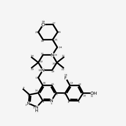 Cc1n[nH]c2nc(-c3ccc(O)cc3F)cc(CN3CC(C)(C)N(CC4CCOCC4)CC3(C)C)c12